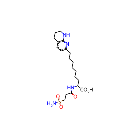 NS(=O)(=O)CCC(=O)NC(CCCCCCCc1ccc2c(n1)NCCC2)C(=O)O